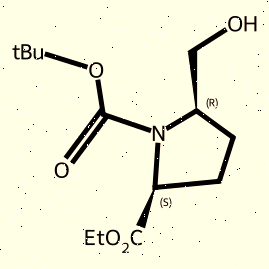 CCOC(=O)[C@@H]1CC[C@H](CO)N1C(=O)OC(C)(C)C